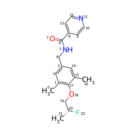 Cc1cc(CNC(=O)c2ccncc2)cc(C)c1OC[C@@H](C)F